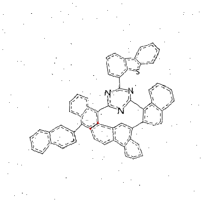 c1ccc2cc(-c3ccc(-c4nc(-c5c(-c6cc7ccccc7c7ccccc67)ccc6ccccc56)nc(-c5cccc6c5sc5ccccc56)n4)c4ccccc34)ccc2c1